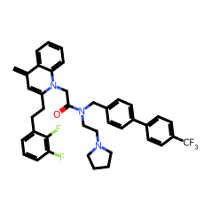 C=C1C=C(CCc2cccc(F)c2F)N(CC(=O)N(CCN2CCCC2)Cc2ccc(-c3ccc(C(F)(F)F)cc3)cc2)c2ccccc21